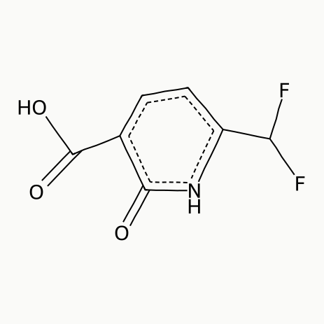 O=C(O)c1ccc(C(F)F)[nH]c1=O